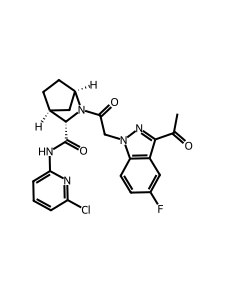 CC(=O)c1nn(CC(=O)N2[C@@H]3CC[C@@H](C3)[C@H]2C(=O)Nc2cccc(Cl)n2)c2ccc(F)cc12